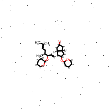 CC(C)=CCC(C)[C@@H](C=C[C@@H]1[C@H]2CC(=O)C[C@H]2C[C@H]1OC1CCCCO1)OC1CCCCO1